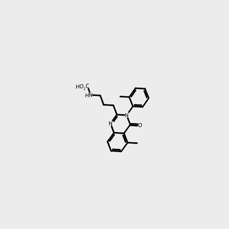 Cc1ccccc1-n1c(CCCNC(=O)O)nc2cccc(C)c2c1=O